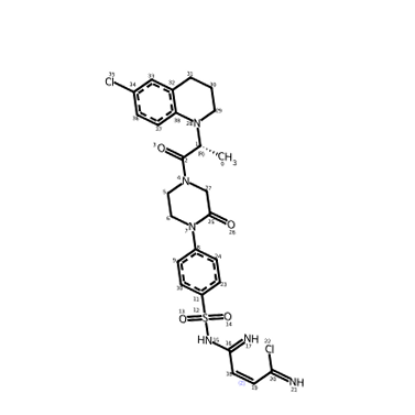 C[C@H](C(=O)N1CCN(c2ccc(S(=O)(=O)NC(=N)/C=C\C(=N)Cl)cc2)C(=O)C1)N1CCCc2cc(Cl)ccc21